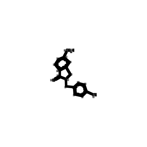 N#Cc1ccc(CN2Cc3cc(C(=O)O)ccc3C2=O)cc1